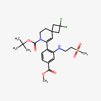 COC(=O)c1ccc(C2=CC3(CCN2C(=O)OC(C)(C)C)CC(F)(F)C3)c(NCCS(C)(=O)=O)c1